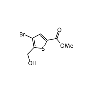 COC(=O)c1cc(Br)c(CO)s1